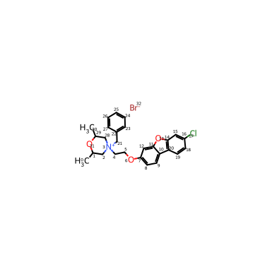 CC1C[N+](CCOc2ccc3c(c2)oc2cc(Cl)ccc23)(Cc2ccccc2)CC(C)O1.[Br-]